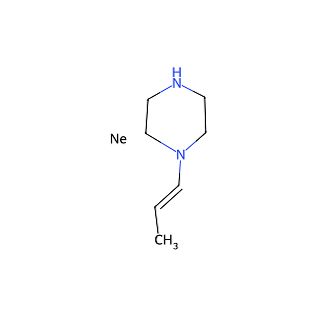 CC=CN1CCNCC1.[Ne]